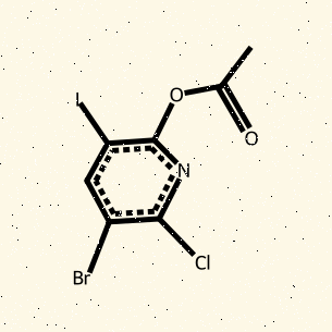 CC(=O)Oc1nc(Cl)c(Br)cc1I